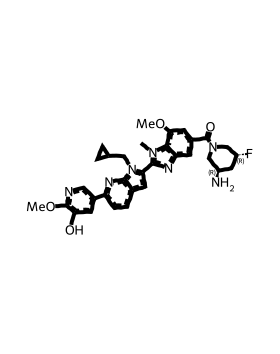 COc1ncc(-c2ccc3cc(-c4nc5cc(C(=O)N6C[C@H](N)C[C@@H](F)C6)cc(OC)c5n4C)n(CC4CC4)c3n2)cc1O